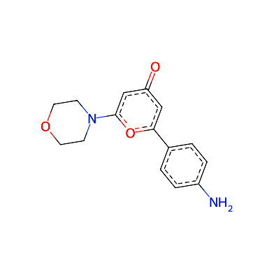 Nc1ccc(-c2cc(=O)cc(N3CCOCC3)o2)cc1